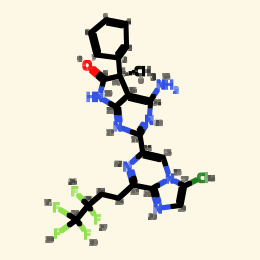 C[C@@]1(c2ccccc2)C(=O)Nc2nc(-c3cn4c(Cl)cnc4c(CCC(F)(F)C(F)(F)F)n3)nc(N)c21